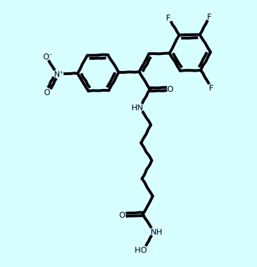 O=C(CCCCCNC(=O)/C(=C\c1cc(F)cc(F)c1F)c1ccc([N+](=O)[O-])cc1)NO